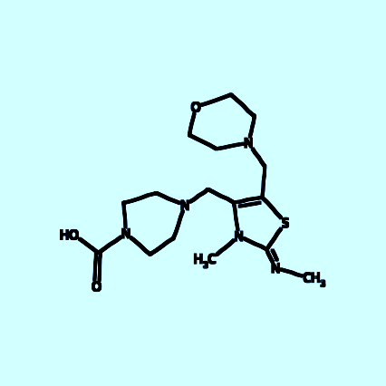 C/N=c1\sc(CN2CCOCC2)c(CN2CCN(C(=O)O)CC2)n1C